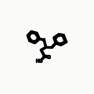 O=C(O)CC(Cc1ccccc1)Sc1ccccc1